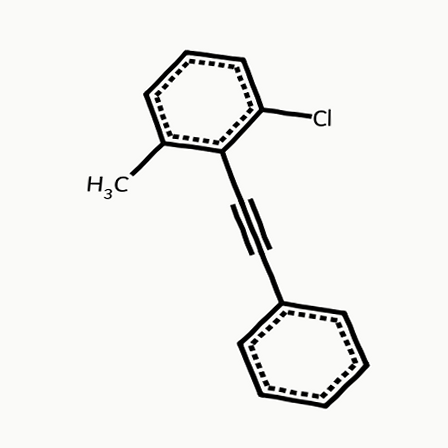 Cc1cccc(Cl)c1C#Cc1ccccc1